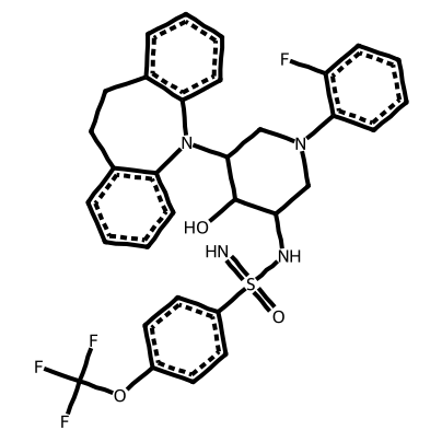 N=S(=O)(NC1CN(c2ccccc2F)CC(N2c3ccccc3CCc3ccccc32)C1O)c1ccc(OC(F)(F)F)cc1